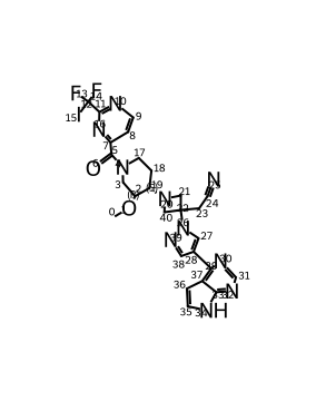 CO[C@@H]1CN(C(=O)c2ccnc(C(F)(F)I)n2)CC[C@@H]1N1CC(CC#N)(n2cc(-c3ncnc4[nH]ccc34)cn2)C1